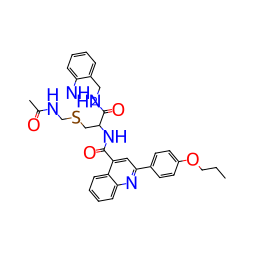 CCCOc1ccc(-c2cc(C(=O)NC(CSCNC(C)=O)C(=O)NCc3ccccc3N)c3ccccc3n2)cc1